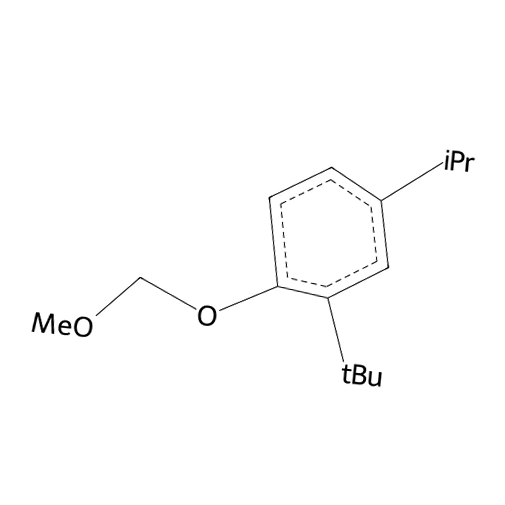 COCOc1ccc(C(C)C)cc1C(C)(C)C